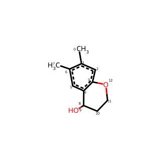 Cc1cc2c(cc1C)C(O)CCO2